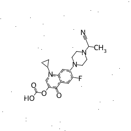 CC(C#N)N1CCN(c2cc3c(cc2F)c(=O)c(OC(=O)O)cn3C2CC2)CC1